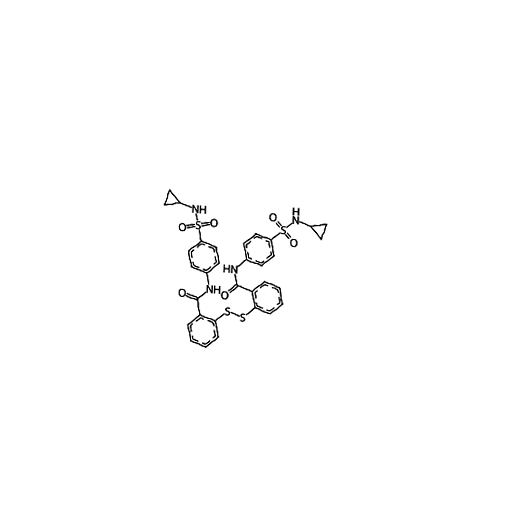 O=C(Nc1ccc(S(=O)(=O)NC2CC2)cc1)c1ccccc1SSc1ccccc1C(=O)Nc1ccc(S(=O)(=O)NC2CC2)cc1